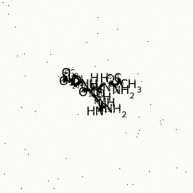 CC(C)[C@H](N)C(=O)NCC(=O)N[C@@H](CCCNC(=N)N)C(=O)Nc1ccc([N+](=O)[O-])cc1